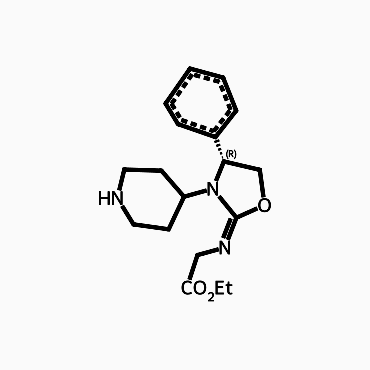 CCOC(=O)CN=C1OC[C@@H](c2ccccc2)N1C1CCNCC1